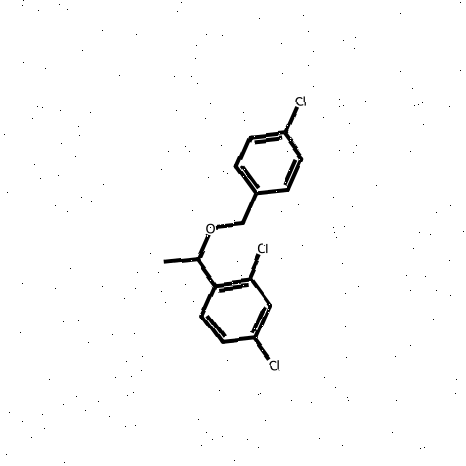 CC(OCc1ccc(Cl)cc1)c1ccc(Cl)cc1Cl